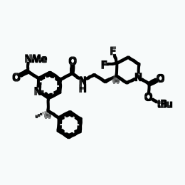 CNC(=O)c1cc(C(=O)NCC[C@@H]2CN(C(=O)OC(C)(C)C)CCC2(F)F)cc([C@@H](C)c2ccccc2)n1